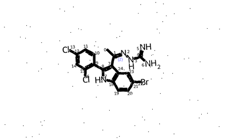 C/C(=N/NC(=N)N)c1c(-c2ccc(Cl)cc2Cl)[nH]c2ccc(Br)cc12